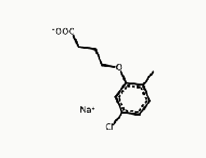 Cc1ccc(Cl)cc1OCCCC(=O)[O-].[Na+]